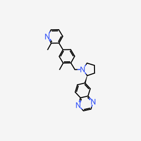 Cc1cc(-c2cccnc2C)ccc1CN1CCC[C@H]1c1ccc2nccnc2c1